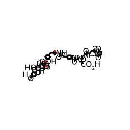 C[C@]12C=CC(=O)C=C1CC[C@@H]1[C@@H]2[C@@H](O)C[C@@]2(C)[C@H]1C[C@H]1O[C@@H](c3ccc(CC45CC(NC(=O)OCc6ccc(NC(=O)[C@H](CCC(=O)O)NC(=O)CNC(=O)CCC(=O)ON7C(=O)C=CC7=O)cc6)(C4)C5)cc3)O[C@]12C(=O)CO